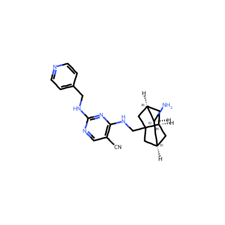 N#Cc1cnc(NCc2ccncc2)nc1NCC12C[C@H]3C[C@H]1C[C@@H](C2)[C@@H]3N